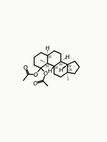 CC(=O)OC1(OC(C)=O)CCC[C@H]2CC[C@H]3[C@@H]4CCC[C@@]4(C)CC[C@@H]3[C@]21C